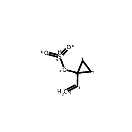 C=CC1(O[SH](=O)=O)CC1